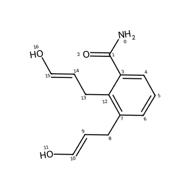 NC(=O)c1cccc(CC=CO)c1CC=CO